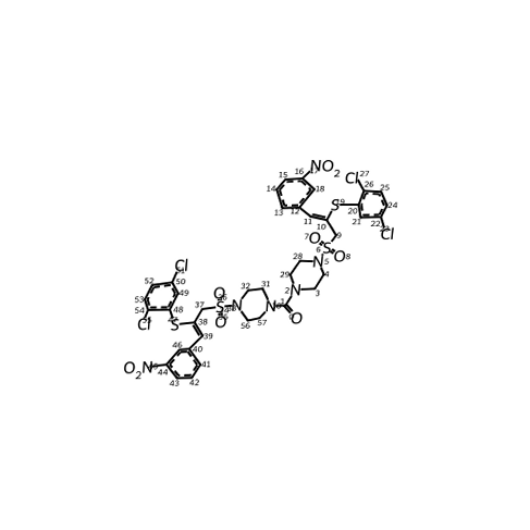 O=C(N1CCN(S(=O)(=O)CC(=Cc2cccc([N+](=O)[O-])c2)Sc2cc(Cl)ccc2Cl)CC1)N1CCN(S(=O)(=O)CC(=Cc2cccc([N+](=O)[O-])c2)Sc2cc(Cl)ccc2Cl)CC1